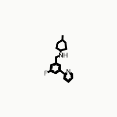 CC1CCC(NCc2cc(F)cc(-c3ccccn3)c2)CC1